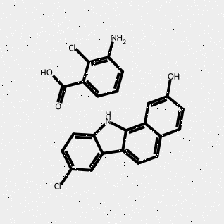 Nc1cccc(C(=O)O)c1Cl.Oc1ccc2ccc3c4cc(Cl)ccc4[nH]c3c2c1